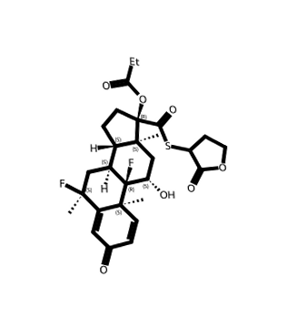 CCC(=O)O[C@]1(C(=O)SC2CCOC2=O)CC[C@H]2[C@@H]3C[C@](C)(F)C4=CC(=O)C=C[C@]4(C)[C@@]3(F)[C@@H](O)C[C@@]21C